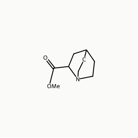 COC(=O)C1CC2CCN1CC2